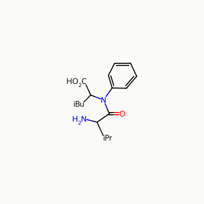 CCC(C)C(C(=O)O)N(C(=O)C(N)C(C)C)c1ccccc1